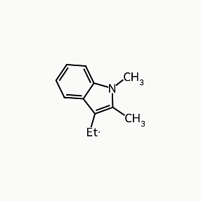 C[CH]c1c(C)n(C)c2ccccc12